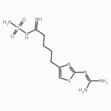 N=C(CCCCc1csc(N=C(N)N)n1)NS(N)(=O)=O